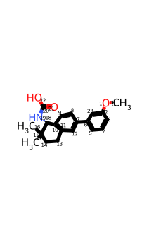 COc1cccc(-c2ccc3c(c2)CCC(C)(C)[C@@H]3NC(=O)O)c1